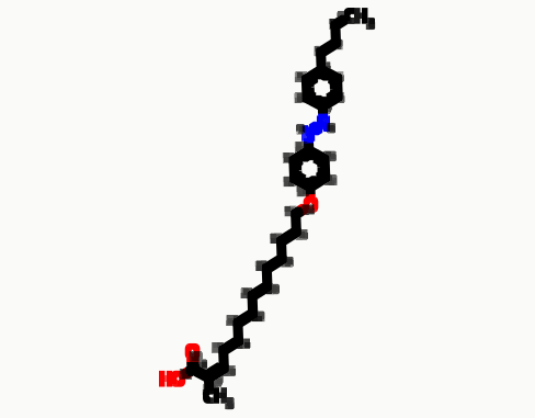 CCCCc1ccc(N=Nc2ccc(OCCCCCCCCCCCC=C(C)C(=O)O)cc2)cc1